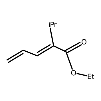 C=CC=C(C(=O)OCC)C(C)C